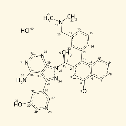 C[C@@H](c1oc(=O)c2ccccc2c1-c1cccc(CN(C)C)c1)n1nc(-c2cncc(O)c2)c2c(N)ncnc21.Cl